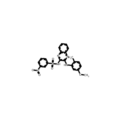 COc1ccc(C)c(Nc2nc3ccccc3nc2NS(=O)(=O)c2cccc([N+](=O)[O-])c2)c1